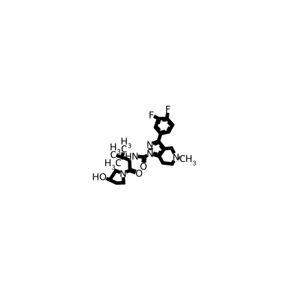 CN1CCc2c(c(-c3ccc(F)c(F)c3)nn2C(=O)NC(C(=O)N2CCC(O)C2)C(C)(C)C)C1